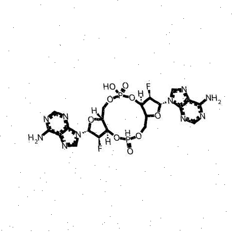 Nc1ncnc2c1ncn2[C@@H]1O[C@@H]2COP(=O)(O)O[C@@H]3C(CO[PH](=O)O[C@H]2[C@H]1F)O[C@@H](n1cnc2c(N)ncnc21)[C@@H]3F